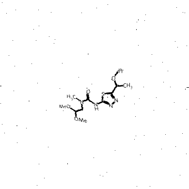 COC(CN(C)C(=O)Nc1nnc(C(C)OC(C)C)s1)OC